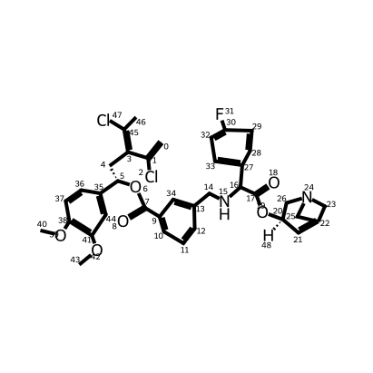 C=C(Cl)/C(C[C@H](OC(=O)c1cccc(CNC(C(=O)O[C@@H]2C=C3CN(C3)C2)c2ccc(F)cc2)c1)c1ccc(OC)c(OC)c1)=C(\C)Cl